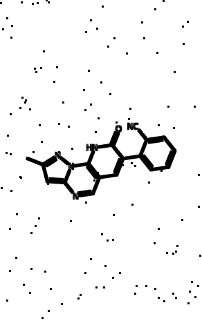 Cc1cc2ncc3cc(-c4ccccc4C#N)c(=O)[nH]c3n2n1